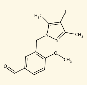 COc1ccc(C=O)cc1Cn1nc(C)c(I)c1C